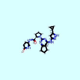 O=C(Nc1ccc(=O)[nH]c1)[C@H]1CCCN1c1nc2c(c(Nc3cc(C4CC4)[nH]n3)n1)CCC2